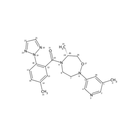 Cc1cncc(N2CCN(C(=O)c3cc(C)ccc3-n3nccn3)[C@H](C)CO2)c1